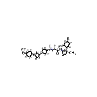 Cc1cs/c(=N\C(=O)N/C=C(\F)c2ccc(-c3ncn(-c4ccc(OC(F)(F)F)cc4)n3)cc2)n1-c1ccc(F)cc1C(C)C